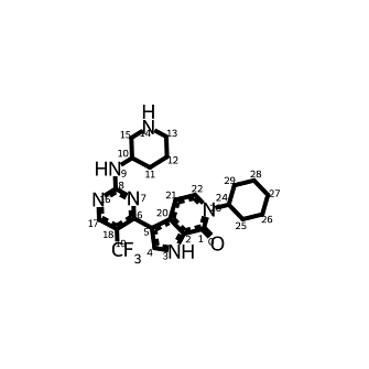 O=c1c2[nH]cc(-c3nc(NC4CCCNC4)ncc3C(F)(F)F)c2ccn1C1CCCCC1